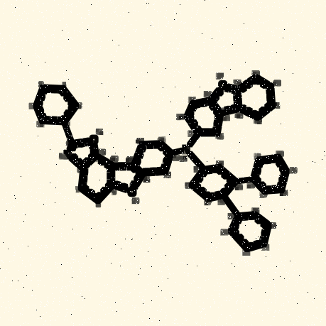 c1ccc(-c2nc3ccc4oc5cc(N(c6ccc(-c7ccccc7)c(-c7ccccc7)c6)c6ccc7oc8ccccc8c7c6)ccc5c4c3o2)cc1